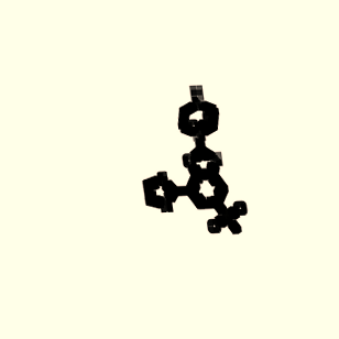 CS(=O)(=O)c1cc(-c2nccs2)c2oc(N3CC4CCCC3CN4)nc2c1